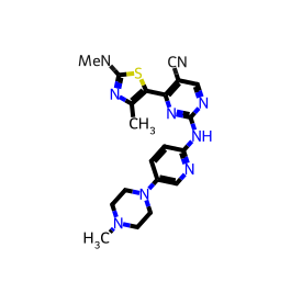 CNc1nc(C)c(-c2nc(Nc3ccc(N4CCN(C)CC4)cn3)ncc2C#N)s1